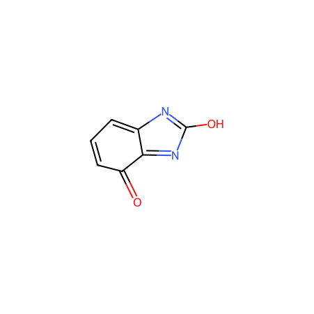 O=C1C=CC=C2N=C(O)N=C12